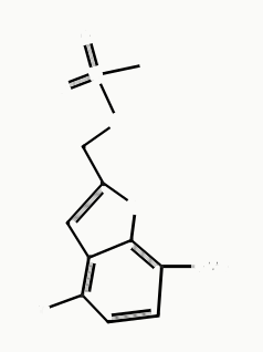 COc1ccc(Br)c2cc(COS(C)(=O)=O)oc12